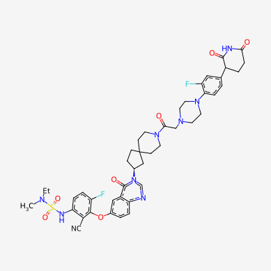 CCN(C)S(=O)(=O)Nc1ccc(F)c(Oc2ccc3ncn([C@H]4CCC5(CCN(C(=O)CN6CCN(c7ccc(C8CCC(=O)NC8=O)cc7F)CC6)CC5)C4)c(=O)c3c2)c1C#N